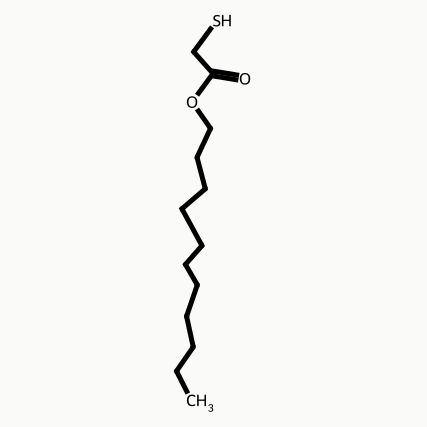 CCCCCCCCCCCOC(=O)CS